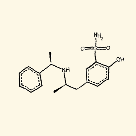 C[C@H](Cc1ccc(O)c(S(N)(=O)=O)c1)N[C@H](C)c1ccccc1